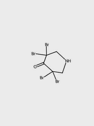 O=C1C(Br)(Br)CNCC1(Br)Br